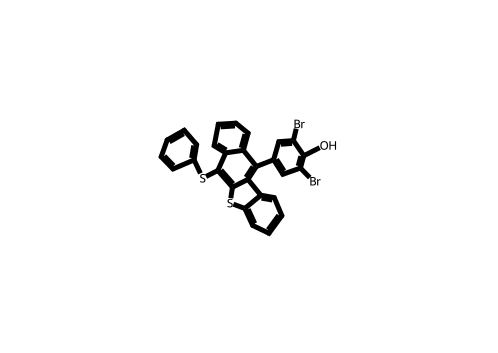 Oc1c(Br)cc(-c2c3ccccc3c(Sc3ccccc3)c3sc4ccccc4c23)cc1Br